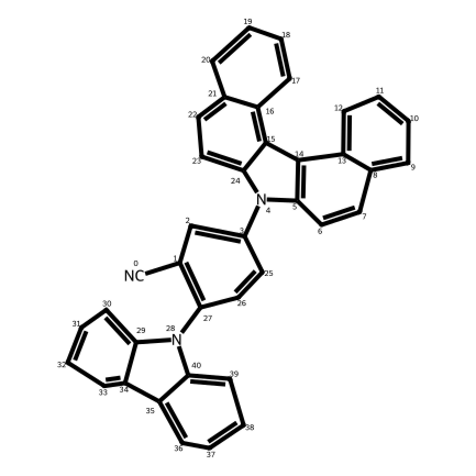 N#Cc1cc(-n2c3ccc4ccccc4c3c3c4ccccc4ccc32)ccc1-n1c2ccccc2c2ccccc21